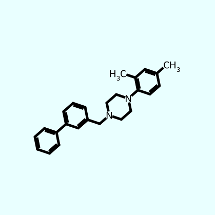 Cc1ccc(N2CCN(Cc3cccc(-c4ccccc4)c3)CC2)c(C)c1